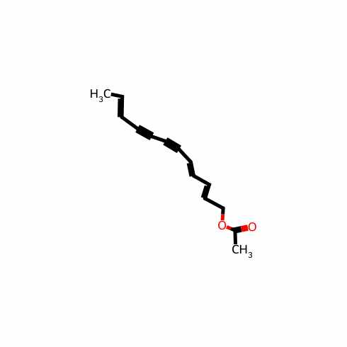 CC=CC#CC#CC=CC=CCOC(C)=O